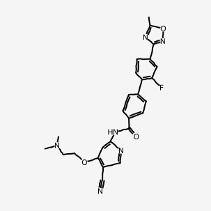 Cc1nc(-c2ccc(-c3ccc(C(=O)Nc4cc(OCCN(C)C)c(C#N)cn4)cc3)c(F)c2)no1